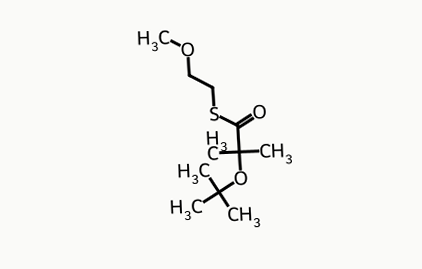 COCCSC(=O)C(C)(C)OC(C)(C)C